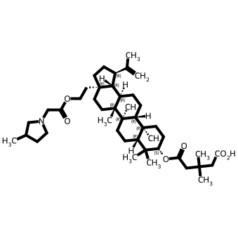 C=C(C)[C@@H]1CC[C@]2(CCOC(=O)CN3CCC(C)C3)CC[C@]3(C)[C@H](CC[C@@H]4[C@@]5(C)CC[C@H](OC(=O)CC(C)(C)CC(=O)O)C(C)(C)[C@@H]5CC[C@]43C)[C@@H]12